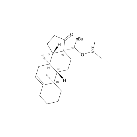 CCCCC(O[SiH](C)C)[C@]12CC[C@H]3[C@@H](CC=C4CCCC[C@@]43C)[C@@H]1CCC2=O